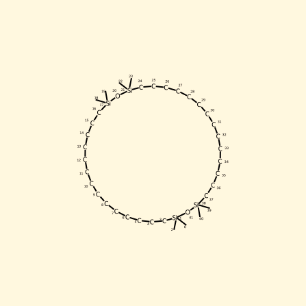 C[Si]1(C)CCCCCCCCCCCCCC[Si](C)(C)O[Si](C)(C)CCCCCCCCCCCCCC[Si](C)(C)O1